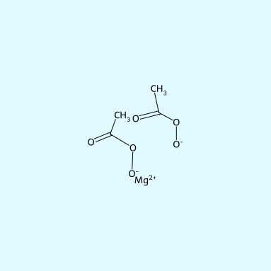 CC(=O)O[O-].CC(=O)O[O-].[Mg+2]